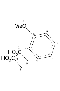 CC(=O)O.CC(=O)O.COc1ccccc1